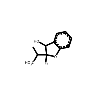 CCC1(C(C)C(=O)O)Oc2ccccc2C1O